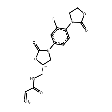 C=CC(=O)NC[C@H]1CN(c2ccc(N3CCOC3=O)c(F)c2)C(=O)O1